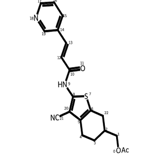 CC(=O)OCC1CCc2c(sc(NC(=O)C=Cc3cccnc3)c2C#N)C1